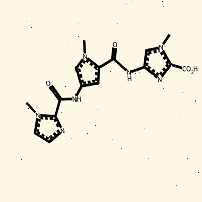 Cn1cc(NC(=O)c2nccn2C)cc1C(=O)Nc1cn(C)c(C(=O)O)n1